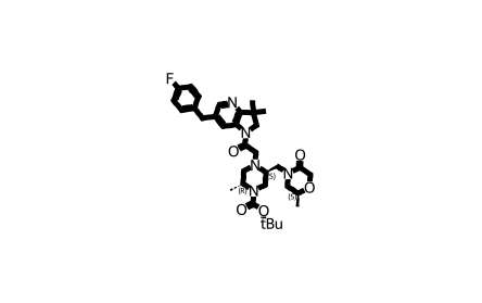 C[C@@H]1CN(CC(=O)N2CC(C)(C)c3ncc(Cc4ccc(F)cc4)cc32)[C@@H](CN2C[C@H](C)OCC2=O)CN1C(=O)OC(C)(C)C